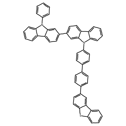 c1ccc(-n2c3ccccc3c3ccc(-c4ccc5c6ccccc6n(-c6ccc(-c7ccc(-c8ccc9sc%10ccccc%10c9c8)cc7)cc6)c5c4)cc32)cc1